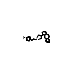 Fc1ccc(C=CCN2CCC(=C3CC=CC4=C3Cc3ccccc3C=C4)CC2)cc1